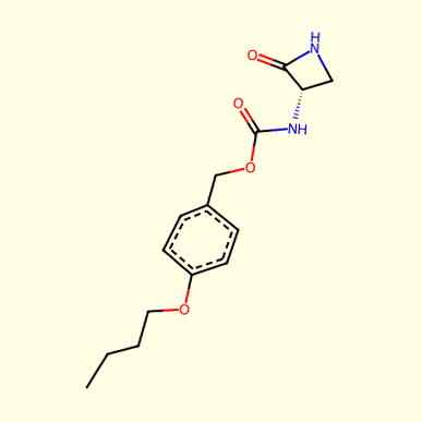 CCCCOc1ccc(COC(=O)N[C@H]2CNC2=O)cc1